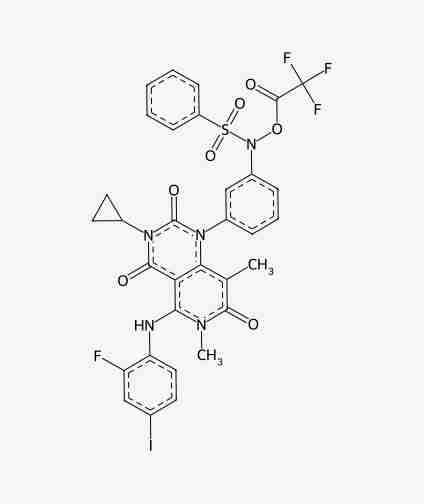 Cc1c(=O)n(C)c(Nc2ccc(I)cc2F)c2c(=O)n(C3CC3)c(=O)n(-c3cccc(N(OC(=O)C(F)(F)F)S(=O)(=O)c4ccccc4)c3)c12